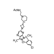 CC(=O)NCCN1CCC[C@@H](C2CN(c3cnc4c(C)nn([C@H](C)c5ccc(Cl)cc5Cl)c4n3)C2)C1